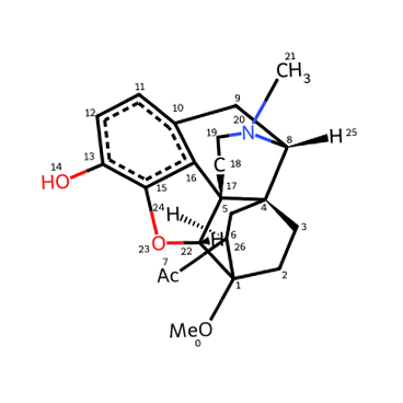 COC12CC[C@]3(C[C@@H]1C(C)=O)[C@H]1Cc4ccc(O)c5c4[C@@]3(CCN1C)[C@H]2O5